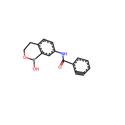 O=C(Nc1ccc2c(c1)B(O)OCC2)c1c#cccc1